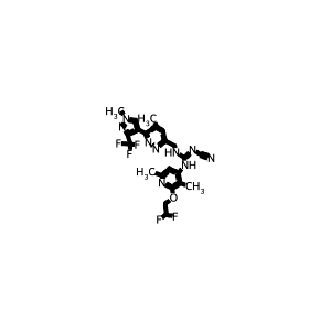 Cc1cc(N/C(=N\C#N)NCc2cc(C)c(-c3cn(C)nc3C(F)(F)F)nn2)c(C)c(OCC(F)F)n1